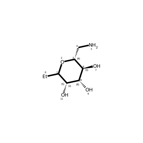 CCC1O[C@H](CN)[C@@H](O)[C@H](O)[C@@H]1O